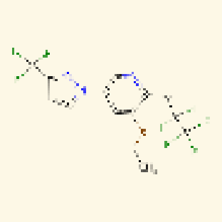 CCSc1cc(-n2ccc(C(F)(F)F)n2)cnc1[CH]C(F)(F)C(F)(F)F